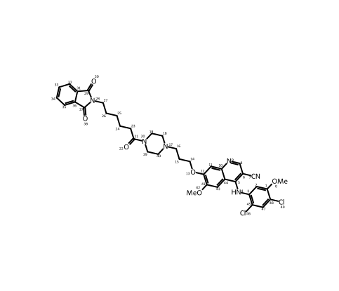 COc1cc(Nc2c(C#N)cnc3cc(OCCCN4CCN(C(=O)CCCCCN5C(=O)c6ccccc6C5=O)CC4)c(OC)cc23)c(Cl)cc1Cl